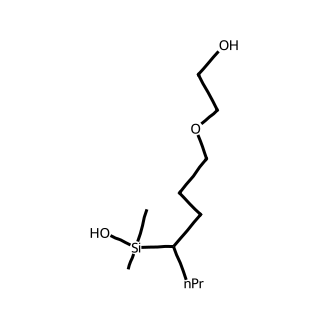 CCCC(CCCOCCO)[Si](C)(C)O